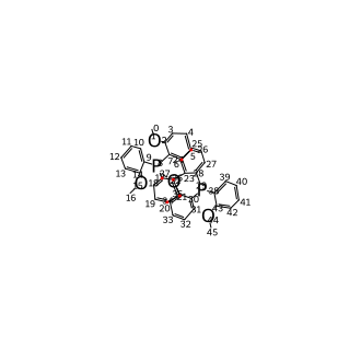 COc1ccccc1P(c1ccccc1OC)c1ccccc1-c1ccccc1P(c1ccccc1OC)c1ccccc1OC